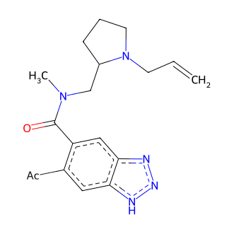 C=CCN1CCCC1CN(C)C(=O)c1cc2nn[nH]c2cc1C(C)=O